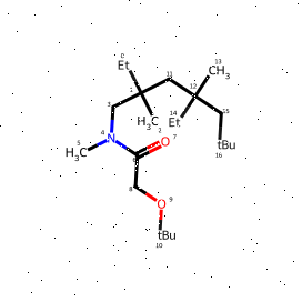 CCC(C)(CN(C)C(=O)COC(C)(C)C)CC(C)(CC)CC(C)(C)C